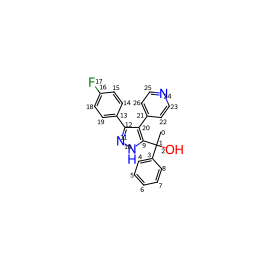 CC(O)(c1ccccc1)c1[nH]nc(-c2ccc(F)cc2)c1-c1ccncc1